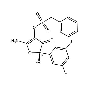 [2H][C@@]1(c2cc(F)cc(F)c2)OC(N)=C(OS(=O)(=O)Cc2ccccc2)C1=O